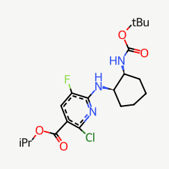 CC(C)OC(=O)c1cc(F)c(N[C@@H]2CCCC[C@@H]2NC(=O)OC(C)(C)C)nc1Cl